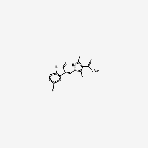 CNC(=O)c1c(C)[nH]c(/C=C2\C(=O)Nc3ccc(F)cc32)c1C